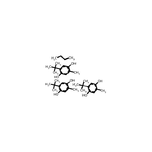 CCCC.Cc1cc(O)c(C(C)(C)C)cc1O.Cc1cc(O)c(C(C)(C)C)cc1O.Cc1cc(O)c(C(C)(C)C)cc1O